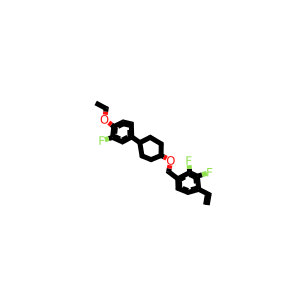 C=Cc1ccc(COC2CCC(c3ccc(OCC)c(F)c3)CC2)c(F)c1F